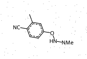 CNNOc1ccc(C#N)c(C)c1